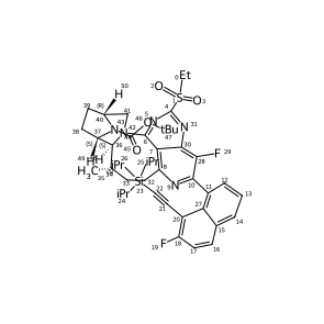 CCS(=O)(=O)c1nc2c3c(nc(-c4cccc5ccc(F)c(C#C[Si](C(C)C)(C(C)C)C(C)C)c45)c(F)c3n1)CC[C@H](C)[C@H]1[C@@H]3CC[C@H](CN21)N3C(=O)OC(C)(C)C